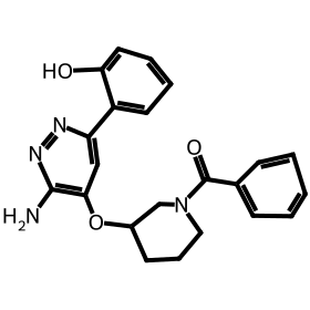 Nc1nnc(-c2ccccc2O)cc1OC1CCCN(C(=O)c2ccccc2)C1